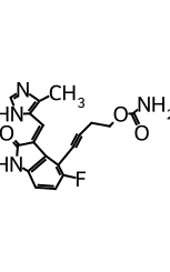 Cc1nc[nH]c1C=C1C(=O)Nc2ccc(F)c(C#CCCOC(N)=O)c21